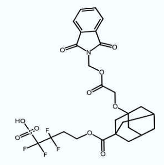 O=C(COC12CC3CC(C1)CC(C(=O)OCCC(F)(F)C(F)(F)S(=O)(=O)O)(C3)C2)OCN1C(=O)c2ccccc2C1=O